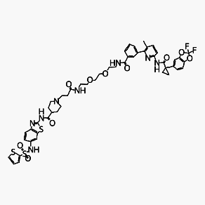 Cc1ccc(NC(=O)C2(c3ccc4c(c3)OC(F)(F)O4)CC2)nc1-c1cccc(C(=O)NCCOCCOCCNC(=O)CCN2CCC(C(=O)Nc3nc4ccc(NS(=O)(=O)c5cccs5)cc4s3)CC2)c1